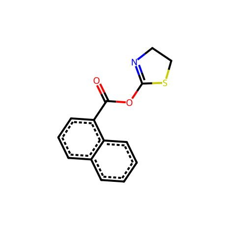 O=C(OC1=NCCS1)c1cccc2ccccc12